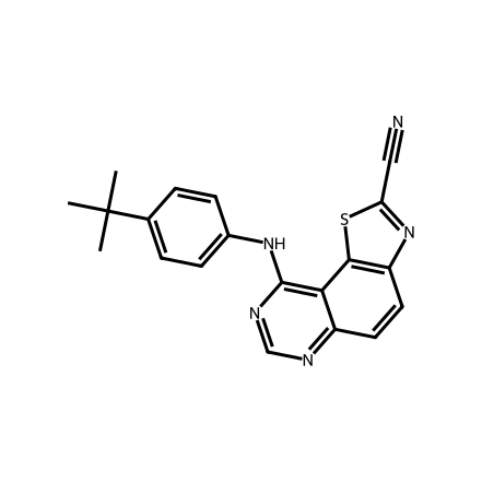 CC(C)(C)c1ccc(Nc2ncnc3ccc4nc(C#N)sc4c23)cc1